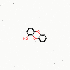 Oc1cccc2c1Oc1ccccc1O2